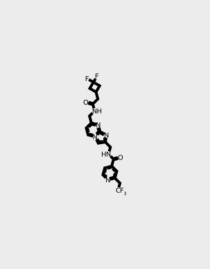 O=C(CC1CC(F)(F)C1)NCc1ccn2cc(CNC(=O)c3ccnc(CC(F)(F)F)c3)nc2n1